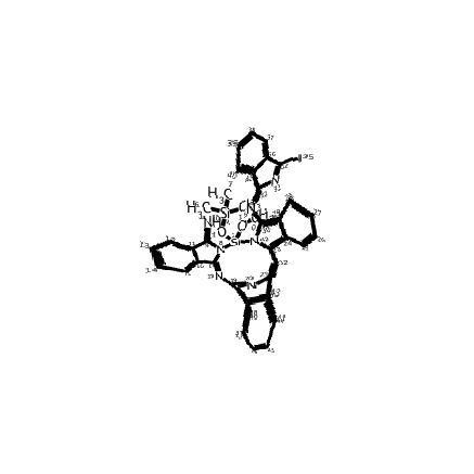 CO[Si]1(O[Si](C)(C)C)N2C(=N)c3ccccc3/C2=N/C2=NC(=C\c3c4ccccc4c(/N=C4\N=C(I)c5ccccc54)n31)/c1ccccc12